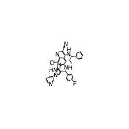 CC[C@@H](Nc1c(C#N)cnc2c(Cl)cc(N[C@H](C3=CN(c4cccnc4)NN3)c3ccc(F)cc3)cc12)c1ccccc1